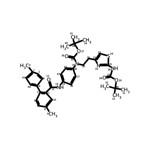 Cc1ccc(-c2ccc(C)cc2C(=O)Nc2ccc(N(CCc3csc(NC(=O)OC(C)(C)C)n3)C(=O)OC(C)(C)C)cc2)cc1